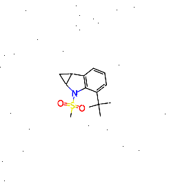 CC(C)(C)c1cccc2c1N(S(C)(=O)=O)C1CC21